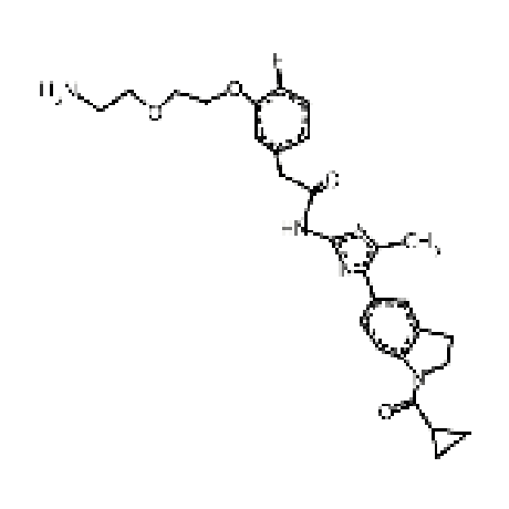 Cc1sc(NC(=O)Cc2ccc(F)c(OCCOCCN)c2)nc1-c1ccc2c(c1)CCN2C(=O)C1CC1